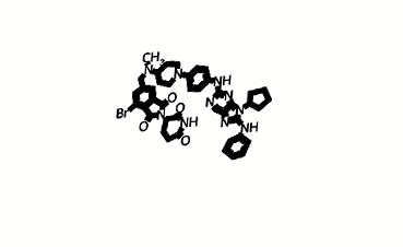 CN(Cc1cc(Br)c2c(c1)C(=O)N(C1CCC(=O)NC1=O)C2=O)C1CCN(c2ccc(Nc3ncc4nc(Nc5ccccc5)n(C5CCCC5)c4n3)cc2)CC1